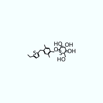 CCc1ccc(Cc2cc(C)c(CO[C@H]3SC(CO)[C@@H](O)C(O)[C@H]3O)cc2C)s1